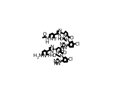 CC(=O)Nc1ccc(-c2cnc(C3CCC4C(=O)N(c5cc(Cl)ccc5-n5cnnn5)CC(=O)N43)[nH]2)c(F)n1.Nc1ccc(-c2cnc([C@@H]3CC[C@@H]4C(=O)N(c5cc(Cl)ccc5-n5cnnn5)CC(=O)N43)[nH]2)c(F)n1